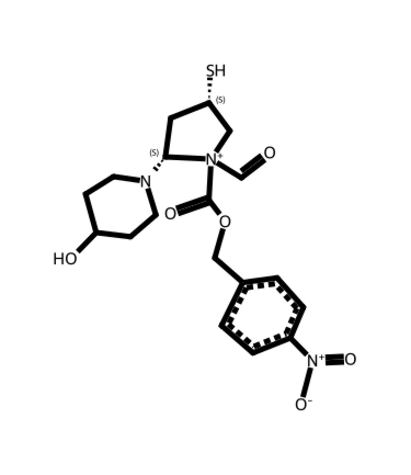 O=C[N+]1(C(=O)OCc2ccc([N+](=O)[O-])cc2)C[C@@H](S)C[C@H]1N1CCC(O)CC1